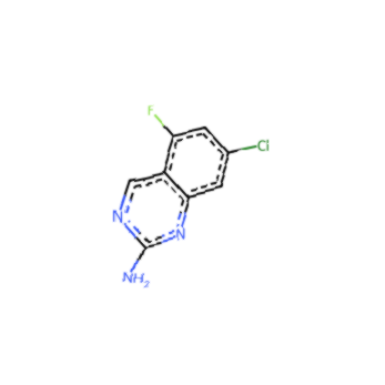 Nc1ncc2c(F)cc(Cl)cc2n1